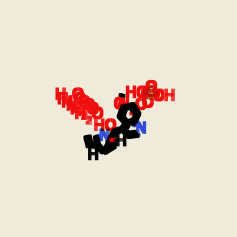 C=C[C@@H]1CN2CCC1C[C@@H]2[C@H](O)c1ccnc2ccc(OC)cc12.O.O.O.O.O.O.O.O=S(=O)(O)O